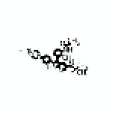 C=CC(=O)Nc1cccc(-c2c(-c3ccc(N4CCN(C)CC4)cc3)[nH]c3ncc(C(=O)OC(C)C)cc23)c1C